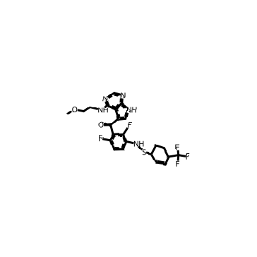 COCCNc1ncnc2[nH]cc(C(=O)c3c(F)ccc(NSC4C=CC(C(F)(F)F)CC4)c3F)c12